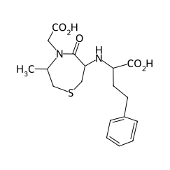 CC1CSCC(NC(CCc2ccccc2)C(=O)O)C(=O)N1CC(=O)O